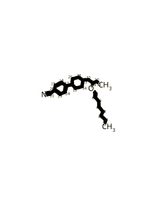 CCCCCC/C=C/OC(CC)CC1CCC(c2ccc(C#N)cc2)CC1